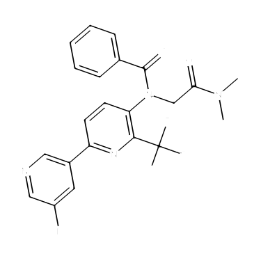 CN(C)C(=O)CN(C(=O)c1ccccc1)c1ccc(-c2cncc(F)c2)nc1C(F)(F)F